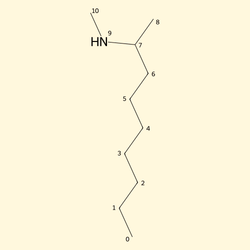 CCCCCCCC(C)NC